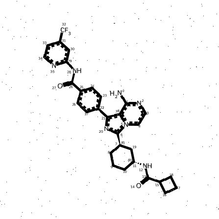 Nc1nccn2c([C@@H]3CCC[C@@H](NC(=O)C4CCC4)C3)nc(-c3ccc(C(=O)Nc4cc(C(F)(F)F)ccn4)cc3)c12